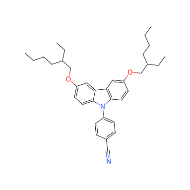 CCCCC(CC)COc1ccc2c(c1)c1cc(OCC(CC)CCCC)ccc1n2-c1ccc(C#N)cc1